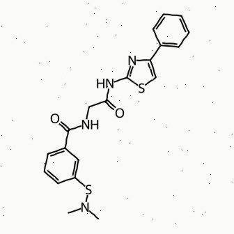 CN(C)Sc1cccc(C(=O)NCC(=O)Nc2nc(-c3ccccc3)cs2)c1